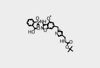 COc1cc(Cn2cc(CNC(=O)OC(C)(C)C)cn2)cc2onc(NS(=O)(=O)c3ccccc3C(=O)O)c12